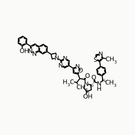 Cc1ncsc1-c1ccc([C@H](C)NC(=O)[C@@H]2C[C@@H](O)CN2C(=O)C(c2cc(-c3cnc(N4CC(c5ccc6cc(-c7ccccc7O)nnc6c5)C4)nc3)no2)C(C)C)cc1